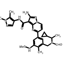 CSNc1cc(-c2ccn3nc(N)c(C(=O)Nc4cnn(C)c4C)c3n2)cc(CN(C=O)C(C)C2CC2)c1C